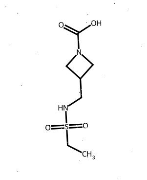 CCS(=O)(=O)NCC1CN(C(=O)O)C1